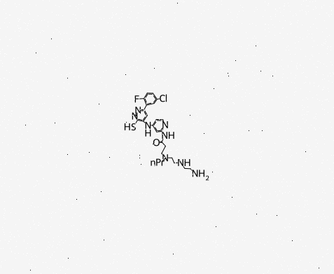 CCCN(CCNCCN)CCC(=O)Nc1cc(Nc2cc(-c3cc(Cl)ccc3F)nnc2S)ccn1